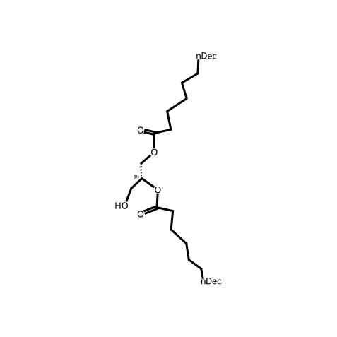 CCCCCCCCCCCCCCCC(=O)OC[C@@H](CO)OC(=O)CCCCCCCCCCCCCCC